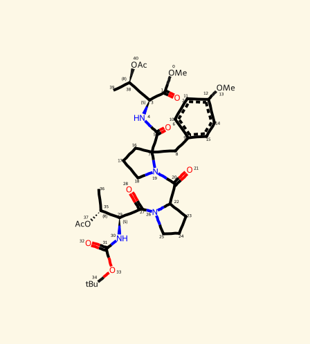 COC(=O)[C@@H](NC(=O)C1(Cc2ccc(OC)cc2)CCCN1C(=O)C1CCCN1C(=O)[C@@H](NC(=O)OC(C)(C)C)[C@@H](C)OC(C)=O)[C@@H](C)OC(C)=O